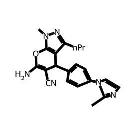 CCCc1nn(C)c2c1C(c1ccc(-n3ccnc3C)cc1)C(C#N)=C(N)O2